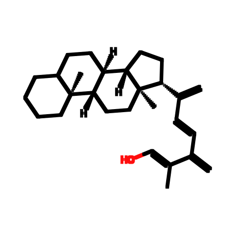 C=C(C=CC(=C)[C@H]1CC[C@H]2[C@@H]3CCC4CCCC[C@]4(C)[C@H]3CC[C@]12C)C(C)=CO